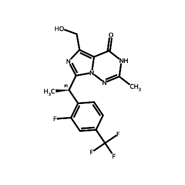 Cc1nn2c([C@H](C)c3ccc(C(F)(F)F)cc3F)nc(CO)c2c(=O)[nH]1